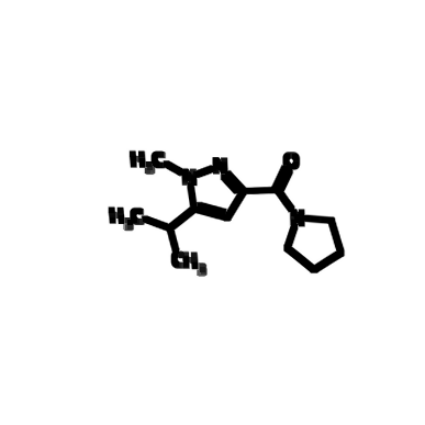 CC(C)c1cc(C(=O)N2CCCC2)nn1C